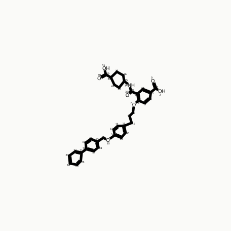 O=C(O)c1ccc(OCCCc2ccc(OCc3ccc(-c4ccccc4)cc3)cc2)c(C(=O)NC2CCC(C(=O)O)CC2)c1